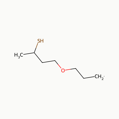 [CH2]CCOCCC(C)S